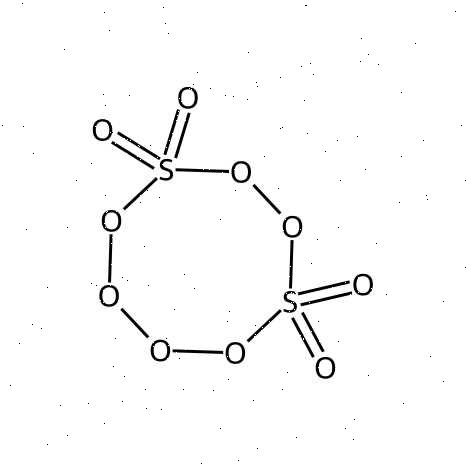 O=S1(=O)OOOOS(=O)(=O)OO1